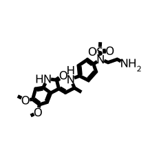 COc1cc2c(cc1OC)C(=CC(C)Nc1ccc(N(CCN)S(C)(=O)=O)cc1)C(=O)N2